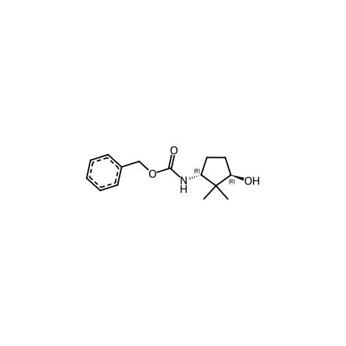 CC1(C)[C@H](O)CC[C@H]1NC(=O)OCc1ccccc1